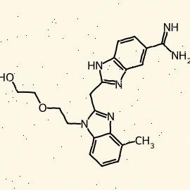 Cc1cccc2c1nc(Cc1nc3cc(C(=N)N)ccc3[nH]1)n2CCOCCO